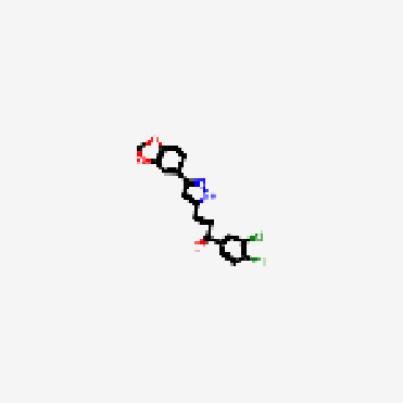 O=C(/C=C/c1cc(-c2ccc3c(c2)OCO3)n[nH]1)c1ccc(Cl)c(Cl)c1